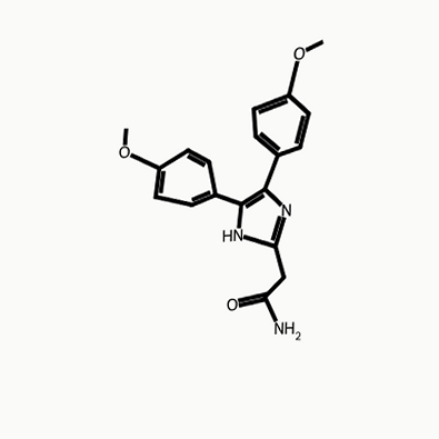 COc1ccc(-c2nc(CC(N)=O)[nH]c2-c2ccc(OC)cc2)cc1